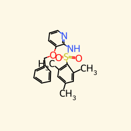 Cc1cc(C)c(S(=O)(=O)Nc2ncccc2OCc2ccccc2)c(C)c1